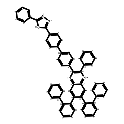 c1ccc(-c2nnc(-c3ccc(-c4ccc(-c5nc6cc(-c7ccccc7-c7ccccc7)c(-c7ccccc7-c7ccccc7)cc6nc5-c5ccccc5)cc4)cc3)o2)cc1